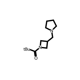 CC(C)(C)C(=O)N1CC(CN2CCCC2)C1